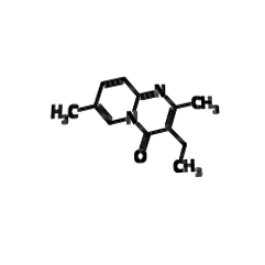 CCc1c(C)nc2ccc(C)cn2c1=O